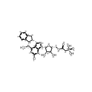 CN(c1nc(Cl)nc2c1cnn2[C@@H]1O[C@H](COC(=O)CP(=O)(O)O)[C@@H](O)[C@H]1O)[C@H]1CCc2ccccc21